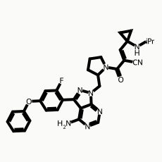 CC(C)NC1(C=C(C#N)C(=O)N2CCCC2Cn2nc(-c3ccc(Oc4ccccc4)cc3F)c3c(N)ncnc32)CC1